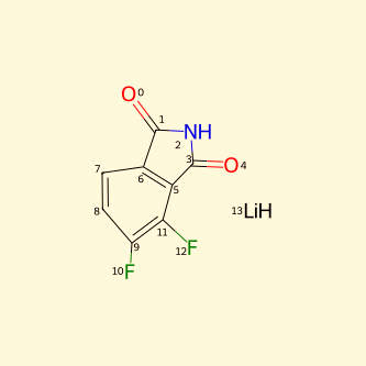 O=C1NC(=O)c2c1ccc(F)c2F.[LiH]